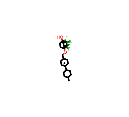 CC1CCC(C23CCC(COC45CCC(O)(CC4)C(F)(F)C5(F)F)(CC2)CC3)CC1